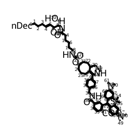 CCCCCCCCCCCCC/C=C/[C@@H](O)[C@H](CO)NC(=O)CCCCCNC(=O)OC1CCCC2=C(c3ccc(CNC(=O)c4ccc(C(=O)[O-])c(C5=C6C=CC(=[N+](C)C)C=C6[Si](C)(C)c6cc(N(C)C)ccc65)c4)cc3)NN=CC2CC1